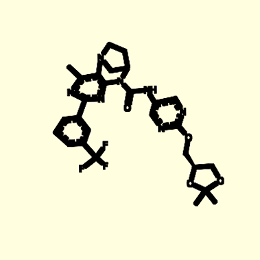 Cc1nc(-c2cccc(C(F)(F)F)c2)nc2c1N1CCC(C1)N2C(=O)Nc1cnc(OC[C@H]2COC(C)(C)O2)nc1